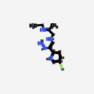 CCN[C@@H](C)CN/C=C(\N=N)c1ccc(F)cn1